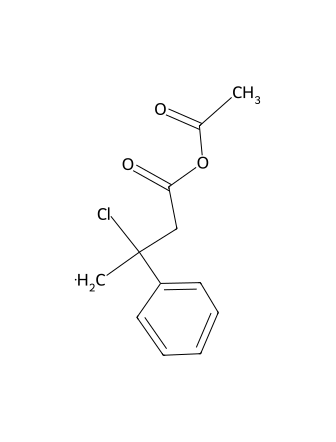 [CH2]C(Cl)(CC(=O)OC(C)=O)c1ccccc1